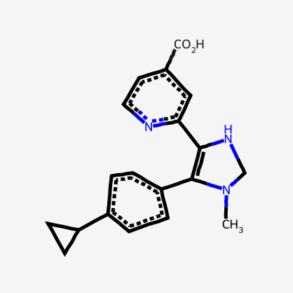 CN1CNC(c2cc(C(=O)O)ccn2)=C1c1ccc(C2CC2)cc1